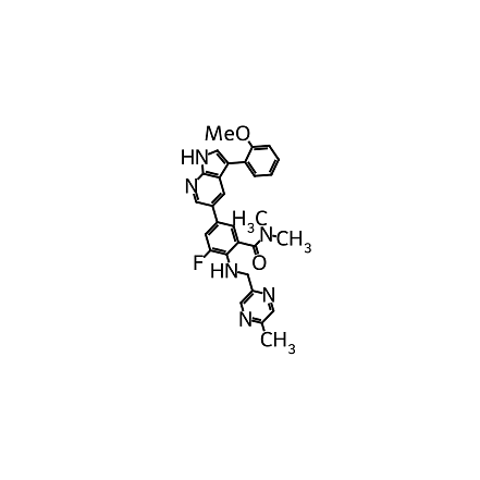 COc1ccccc1-c1c[nH]c2ncc(-c3cc(F)c(NCc4cnc(C)cn4)c(C(=O)N(C)C)c3)cc12